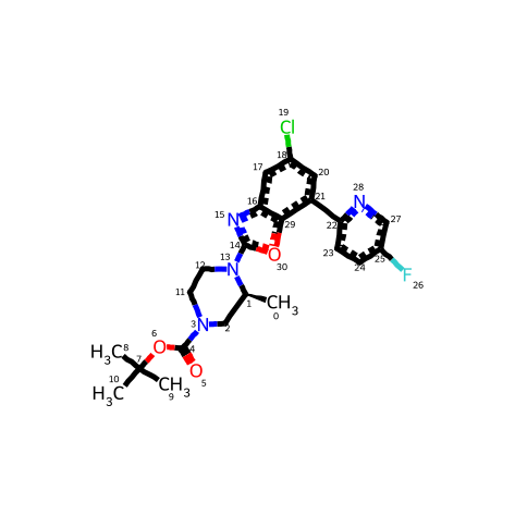 C[C@H]1CN(C(=O)OC(C)(C)C)CCN1c1nc2cc(Cl)cc(-c3ccc(F)cn3)c2o1